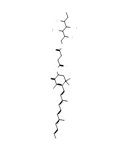 C/C=C/C=C(C)/C=C/C=C(C)/C=C/C1=C(C)C(=O)C(OC(=O)CCC(=O)OCC(O)C(O)C(O)C(O)CC)CC1(C)C